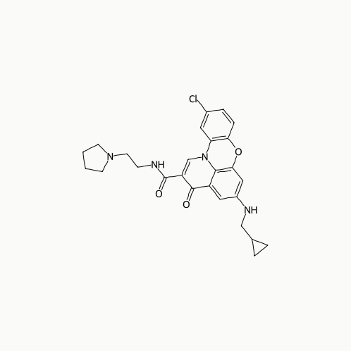 O=C(NCCN1CCCC1)c1cn2c3c(cc(NCC4CC4)cc3c1=O)Oc1ccc(Cl)cc1-2